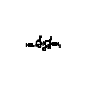 Nc1nc(=O)n([C@@H]2O[C@H](CO)C[C@H]2F)cc1I